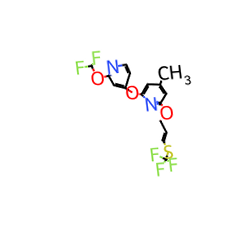 Cc1cc(OCC=CSC(F)(F)F)nc(Oc2ccnc(OC(F)F)c2)c1